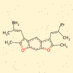 B/C(C)=C/c1c(C)oc2cc3oc(C)c(/C=C(\C)C(C)C)c3cc12